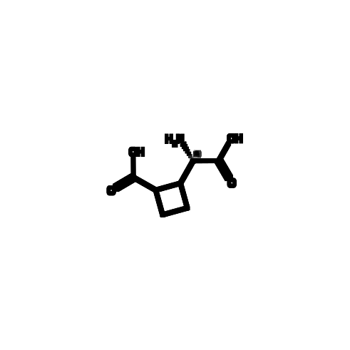 N[C@H](C(=O)O)C1CCC1C(=O)O